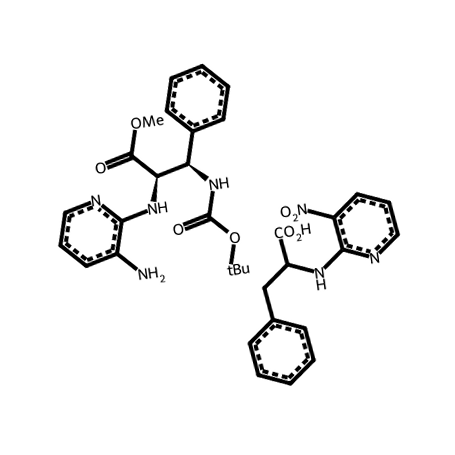 COC(=O)[C@H](Nc1ncccc1N)[C@H](NC(=O)OC(C)(C)C)c1ccccc1.O=C(O)C(Cc1ccccc1)Nc1ncccc1[N+](=O)[O-]